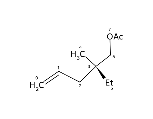 C=CC[C@@](C)(CC)COC(C)=O